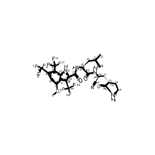 COc1cc(C(F)(F)F)c(C(F)(F)F)c2[nH]c(C(=O)N[C@@H](CC(C)C)C(=O)N[C@H](C#N)C[C@@H]3CCNC3=O)c(C(F)(F)F)c12